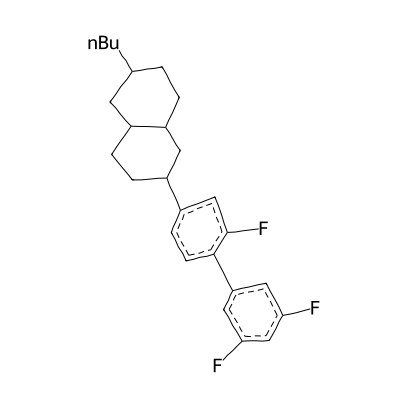 CCCCC1CCC2CC(c3ccc(-c4cc(F)cc(F)c4)c(F)c3)CCC2C1